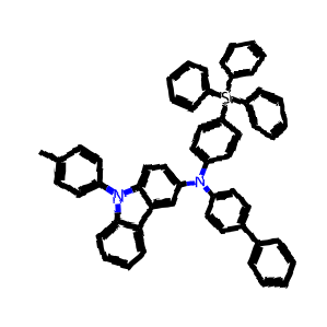 Cc1ccc(-n2c3ccccc3c3cc(N(c4ccc(-c5ccccc5)cc4)c4ccc([Si](c5ccccc5)(c5ccccc5)c5ccccc5)cc4)ccc32)cc1